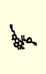 CNc1nc(Nc2ccc(C#N)cc2)nc2c(-c3c(C)cc(/C=C/C#N)cc3C)cccc12